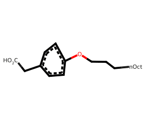 CCCCCCCCCCCOc1ccc(CC(=O)O)cc1